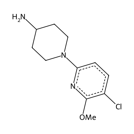 COc1nc(N2CCC(N)CC2)ccc1Cl